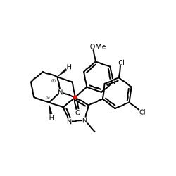 COc1cncc(C(=O)N2[C@@H]3CCC[C@H]2c2nn(C)c(-c4cc(Cl)cc(Cl)c4)c2C3)c1